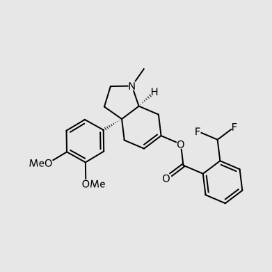 COc1ccc([C@@]23CC=C(OC(=O)c4ccccc4C(F)F)C[C@@H]2N(C)CC3)cc1OC